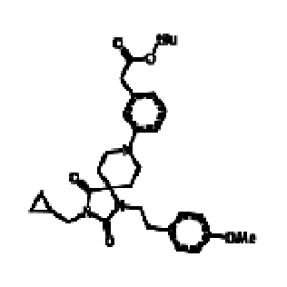 COc1ccc(CCN2C(=O)N(CC3CC3)C(=O)C23CCN(c2cccc(CC(=O)OC(C)(C)C)c2)CC3)cc1